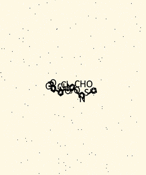 Cc1c(COc2cc(OCc3cncc(SCc4ccccc4)c3)c(C=O)cc2Cl)cccc1-c1ccc2c(c1)OCCO2